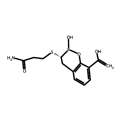 C=C(O)c1cccc2c1OB(O)[C@@H](SCCC(N)=O)C2